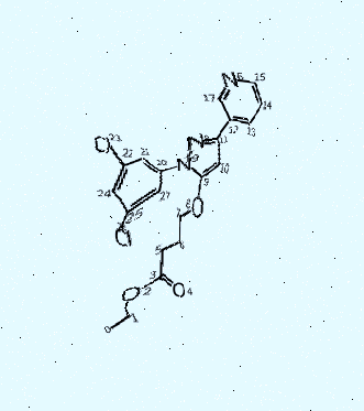 CCOC(=O)CCCOc1cc(-c2cccnc2)nn1-c1cc(Cl)cc(Cl)c1